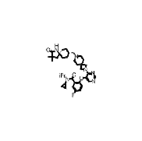 CC(C)N(C(=O)c1cc(F)ccc1Oc1cncnc1N1CC2(CCN(C[C@H]3CC[C@]4(CC3)CC(C)(C)C(=O)N4)CC2)C1)C1CC1